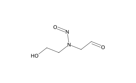 O=CCN(CCO)N=O